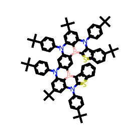 CC(C)(C)c1ccc(N2c3cc4c(cc3B3c5c2cc(C(C)(C)C)cc5N(c2ccc(C(C)(C)C)cc2)c2sc5ccccc5c23)B2c3sc5ccc(C(C)(C)C)cc5c3N(c3ccc(C(C)(C)C)cc3)c3cc(C(C)(C)C)cc(c32)N4c2ccc(C(C)(C)C)cc2)cc1